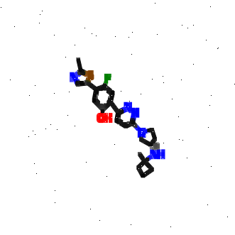 Cc1ncc(-c2cc(O)c(-c3ccc(N4CC[C@H](NC5(C)CCC5)C4)nn3)cc2F)s1